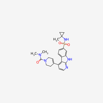 CN(C)C(=O)N1CC=C(c2ccnc3[nH]c4cc(S(=O)(=O)NC5(C)CC5)ccc4c23)CC1